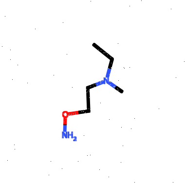 CCN(C)CCON